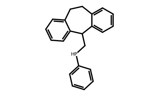 c1ccc(PCC2c3ccccc3CCc3ccccc32)cc1